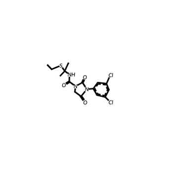 CCSC(C)(C)NC(=O)N1CC(=O)N(c2cc(Cl)cc(Cl)c2)C1=O